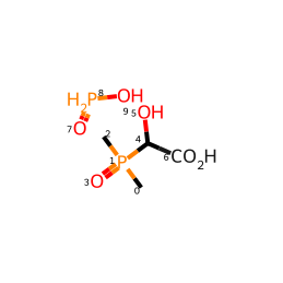 CP(C)(=O)C(O)C(=O)O.O=[PH2]O